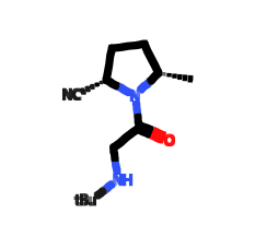 C[C@H]1CC[C@@H](C#N)N1C(=O)CNC(C)(C)C